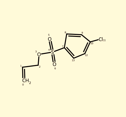 C=CCOS(=O)(=O)c1ccc(Cl)cc1